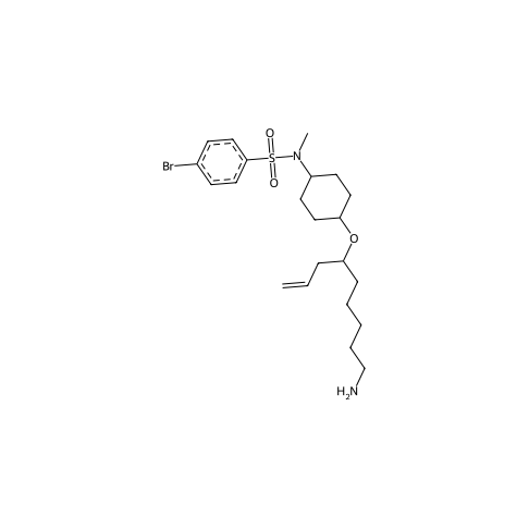 C=CCC(CCCCCN)OC1CCC(N(C)S(=O)(=O)c2ccc(Br)cc2)CC1